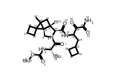 CC(C)(C)OC(=O)N[C@H](C(=O)N1C[C@]23[C@H](CC2(C)C32CCC2)[C@H]1C(=O)NC(CC1CCC1)C(=O)C(N)=O)C(C)(C)C